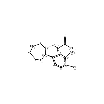 CC(=O)NC[C@H]1CNCCO[C@@H]1c1ccc(Cl)c(C)c1